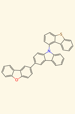 c1ccc2c(c1)oc1ccc(-c3ccc4c(c3)c3ccccc3n4-c3cccc4sc5ccccc5c34)cc12